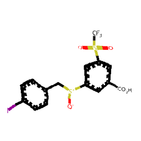 O=C(O)c1cc([S+]([O-])Cc2ccc(I)cc2)cc(S(=O)(=O)C(F)(F)F)c1